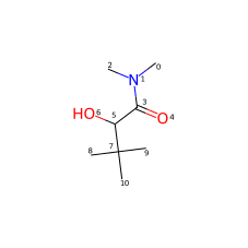 CN(C)C(=O)C(O)C(C)(C)C